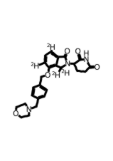 [2H]c1cc([2H])c2c(c1OCc1ccc(CN3CCOCC3)cc1)C([2H])([2H])N(C1CCC(=O)NC1=O)C2=O